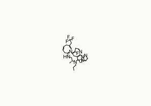 CCCN(C(=O)/C1=C(n2nccn2)/N=C\C/C(F)=C/C1)[C@@H](C)CN/C1=N/C=C(/CC(F)(F)F)C/C=C\C1